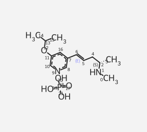 CN[C@@H](C)C/C=C/c1cncc(OC(C)C)c1.O=P(O)(O)O